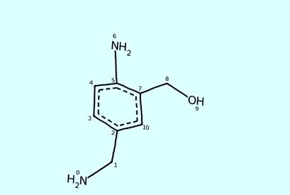 NCc1ccc(N)c(CO)c1